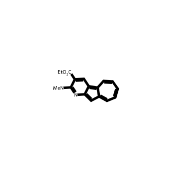 CCOC(=O)c1cc2c3cccccc-3cc2nc1NC